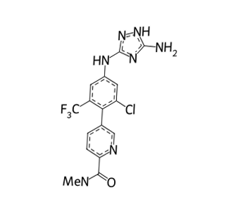 CNC(=O)c1ccc(-c2c(Cl)cc(Nc3n[nH]c(N)n3)cc2C(F)(F)F)cn1